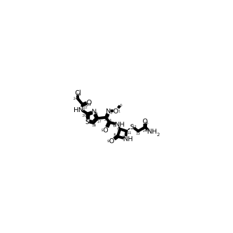 CON=C(C(=O)N[C@@H]1C(=O)N[C@H]1SCC(N)=O)c1csc(NC(=O)CCl)n1